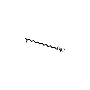 CC(C)CCCCCCCCCCCCCCO[C]=O